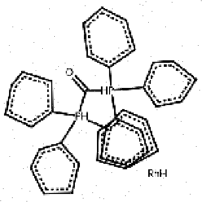 O=C([PH](c1ccccc1)(c1ccccc1)c1ccccc1)[PH](c1ccccc1)(c1ccccc1)c1ccccc1.[RhH]